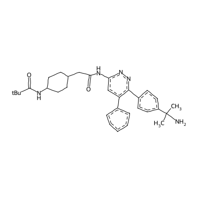 CC(C)(C)C(=O)NC1CCC(CC(=O)Nc2cc(-c3ccccc3)c(-c3ccc(C(C)(C)N)cc3)nn2)CC1